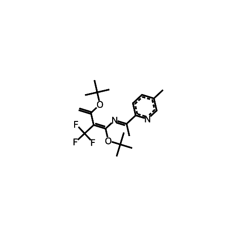 C=C(OC(C)(C)C)/C(=C(\N=C(/C)c1ccc(C)cn1)OC(C)(C)C)C(F)(F)F